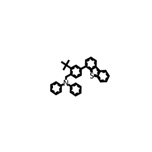 CC(C)(C)c1cc(-c2cccc3c2sc2ccccc23)ccc1CN(c1ccccc1)c1ccccc1